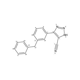 N#Cc1[nH]nnc1-c1cccc(Cc2ccccc2)c1